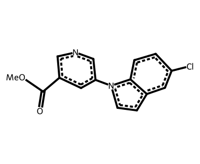 COC(=O)c1cncc(-n2ccc3cc(Cl)ccc32)c1